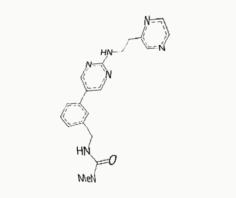 CNC(=O)NCc1cccc(-c2cnc(NCCc3cnccn3)nc2)c1